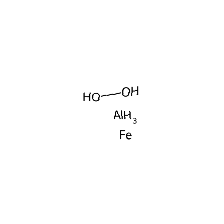 OO.[AlH3].[Fe]